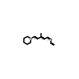 C=C\N=C/C=C(C)/C=C/N1CCCCC1